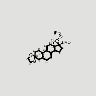 CC(C)SO[C@]1(C=O)CCC2C3CCC4=C(CCC5(C4)OCCO5)C3=CC[C@@]21C